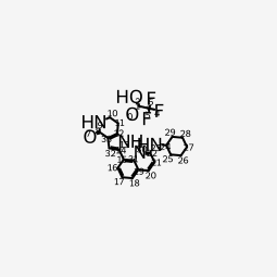 O=C(O)C(F)(F)F.O=C1NCCc2[nH]c(-c3cccc4ccc(NC5CCCCC5)nc34)cc21